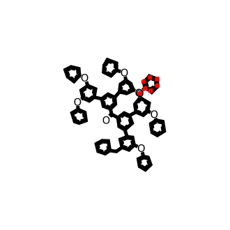 O=C(c1cc(-c2cc(Cc3ccccc3)cc(Oc3ccccc3)c2)cc(-c2cc(Oc3ccccc3)cc(Oc3ccccc3)c2)c1)c1cc(-c2cc(Oc3ccccc3)cc(Oc3ccccc3)c2)cc(-c2cc(Oc3ccccc3)cc(Oc3ccccc3)c2)c1